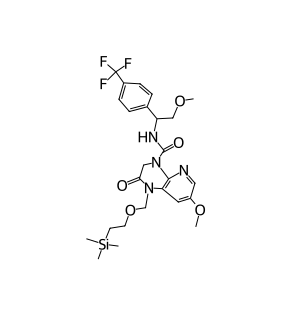 COCC(NC(=O)N1CC(=O)N(COCC[Si](C)(C)C)c2cc(OC)cnc21)c1ccc(C(F)(F)F)cc1